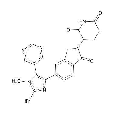 CC(C)c1nc(-c2ccc3c(c2)CN(C2CCC(=O)NC2=O)C3=O)c(-c2cncnc2)n1C